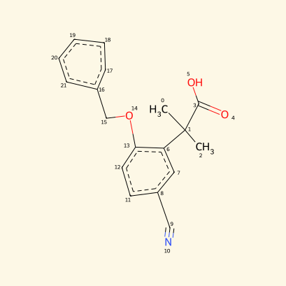 CC(C)(C(=O)O)c1cc(C#N)ccc1OCc1ccccc1